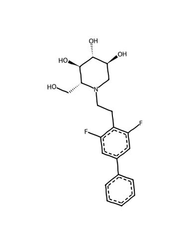 OC[C@@H]1[C@@H](O)[C@H](O)[C@@H](O)CN1CCc1c(F)cc(-c2ccccc2)cc1F